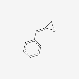 C(=C1CO1)c1ccccc1